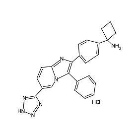 Cl.NC1(c2ccc(-c3nc4ccc(-c5nn[nH]n5)cn4c3-c3ccccc3)cc2)CCC1